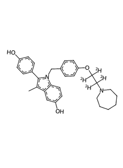 [2H]C([2H])(Oc1ccc(Cn2c(-c3ccc(O)cc3)c(C)c3cc(O)ccc32)cc1)C([2H])([2H])N1CCCCCC1